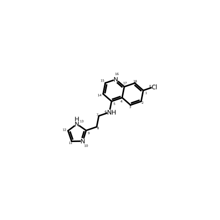 Clc1ccc2c(NCCc3ncc[nH]3)ccnc2c1